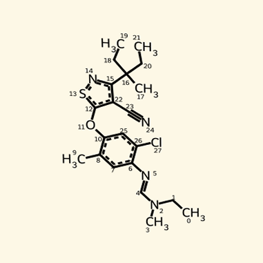 CCN(C)C=Nc1cc(C)c(Oc2snc(C(C)(CC)CC)c2C#N)cc1Cl